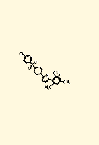 Cc1cc(C)c(-c2csc(N3CCN(S(=O)(=O)c4ccc(Cl)cc4)CC3)n2)c(C)c1